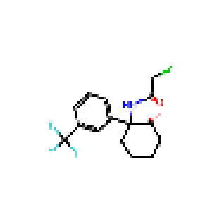 O=C(CCl)NC1(c2cccc(C(F)(F)F)c2)CCCCC1=O